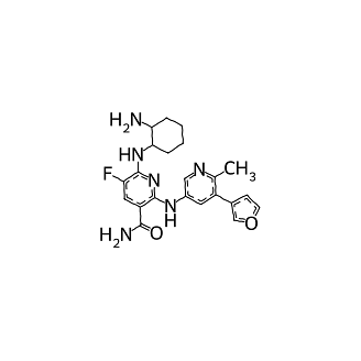 Cc1ncc(Nc2nc(NC3CCCCC3N)c(F)cc2C(N)=O)cc1-c1ccoc1